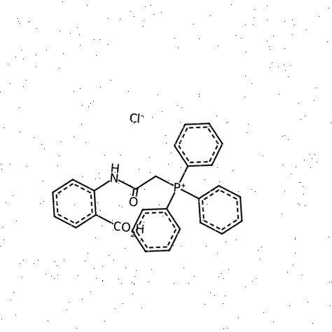 O=C(C[P+](c1ccccc1)(c1ccccc1)c1ccccc1)Nc1ccccc1C(=O)O.[Cl-]